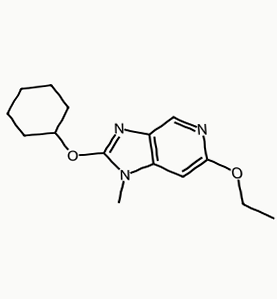 CCOc1cc2c(cn1)nc(OC1CCCCC1)n2C